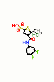 Cc1sc(S(=O)(=O)O)cc1C(=O)Nc1ccc(F)c(F)c1.Cl